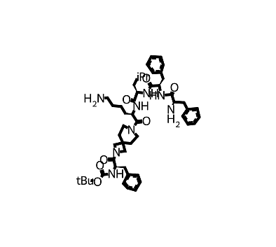 CC(C)C[C@@H](NC(=O)[C@@H](Cc1ccccc1)NC(=O)[C@H](N)Cc1ccccc1)C(=O)N[C@H](CCCCN)C(=O)N1CCC2(CC1)CN(C(=O)[C@@H](Cc1ccccc1)NC(=O)OC(C)(C)C)C2